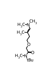 C/C(=C\N(C)C)CCOCC(=O)N(C)C(C)(C)C